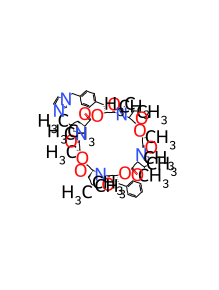 CC(C)C[C@H]1C(=O)O[C@H](Cc2ccc(Cn3ccnc3)cc2)C(=O)N(C)C(C(C)C)C(=O)O[C@H](C)C(=O)N(C)C(C(C)C)C(=O)O[C@H](Cc2ccccc2)C(=O)N(C)[C@@H](CC(C)C)C(=O)O[C@H](C)C(=O)N1C